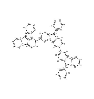 C1=Cc2c(n3c4ccccc4c4ccc(-c5ccc6c(c5)c5cc(-c7ccc8c(c7)c7ccccc7n8-c7ccccc7)ccc5n6-c5ccccc5)c2c43)CC1